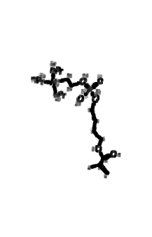 C=C(C)C(=O)OCCCCOP(=O)([O-])OCC[N+](CCC)(CCC)CCC